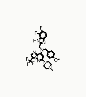 COc1ccc(CN(Cc2nc3ccc(F)c(F)c3[nH]2)c2cc(N3CCN(C)CC3)nn3c(C(F)(F)F)cnc23)cc1